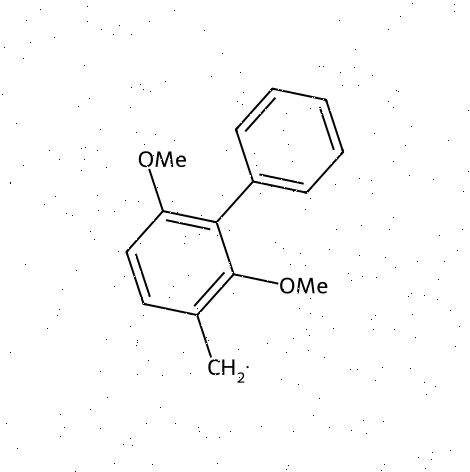 [CH2]c1ccc(OC)c(-c2ccccc2)c1OC